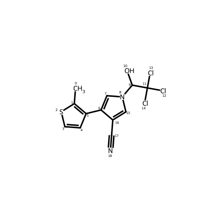 Cc1sccc1-c1cn(C(O)C(Cl)(Cl)Cl)cc1C#N